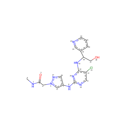 CNC(=O)Cn1cc(Nc2ncc(Cl)c(NC(CO)c3cccnc3)n2)cn1